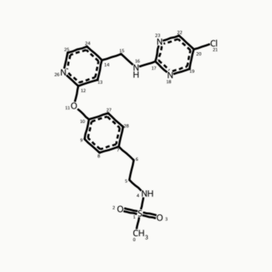 CS(=O)(=O)NCCc1ccc(Oc2cc(CNc3ncc(Cl)cn3)ccn2)cc1